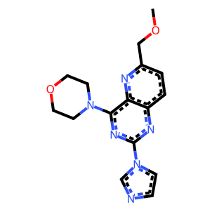 COCc1ccc2nc(-n3ccnc3)nc(N3CCOCC3)c2n1